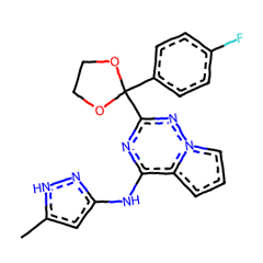 Cc1cc(Nc2nc(C3(c4ccc(F)cc4)OCCO3)nn3cccc23)n[nH]1